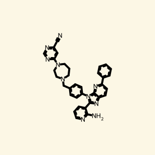 N#Cc1cc(N2CCCN(Cc3ccc(-n4c(-c5cccnc5N)nc5ccc(-c6ccccc6)nc54)cc3)CC2)ncn1